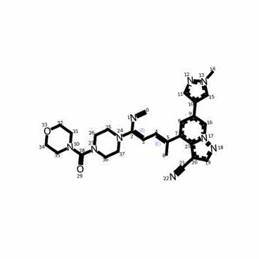 C=N/C(=C\C=C(/C)c1cc(-c2cnn(C)c2)cn2ncc(C#N)c12)N1CCN(C(=O)N2CCOCC2)CC1